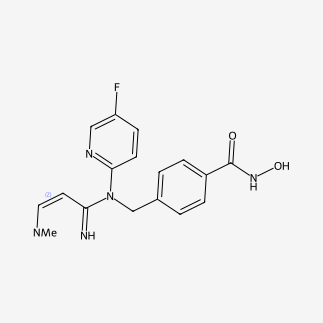 CN/C=C\C(=N)N(Cc1ccc(C(=O)NO)cc1)c1ccc(F)cn1